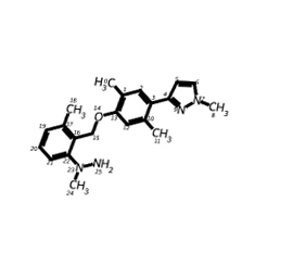 Cc1cc(-c2ccn(C)n2)c(C)cc1OCc1c(C)cccc1N(C)N